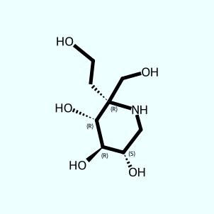 OCC[C@]1(CO)NC[C@H](O)[C@@H](O)[C@@H]1O